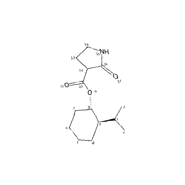 CC(C)[C@H]1CCCC[C@@H]1OC(=O)C1CCNC1=O